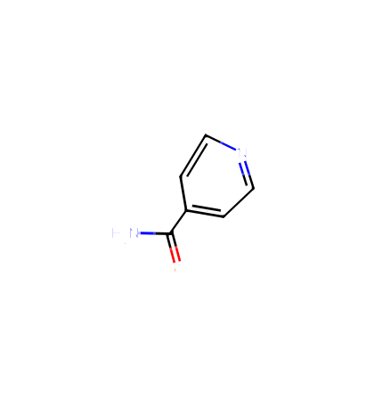 NC(=O)c1c[c]ncc1